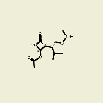 CC(=O)O[C@H]1NC(=O)[C@@H]1[C@H](CO[SiH](C)C)C(C)C